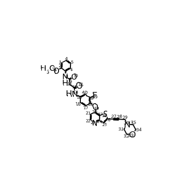 COc1ccccc1NC(=O)CC(=O)Nc1ccc(Oc2ccnc3cc(C#CCN4CCOCC4)sc23)c(F)c1